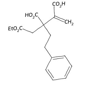 C=C(C(=O)O)C(CCc1ccccc1)(CC(=O)OCC)C(=O)O